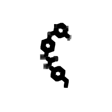 CCc1ccc(NC(=O)Nc2ccc(Oc3cc(F)ncn3)cc2)cc1